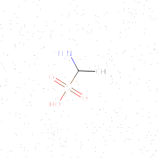 C[C](N)S(=O)(=O)O